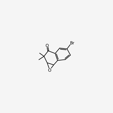 CC1(C)C(=O)c2cc(Br)ccc2C2OC21